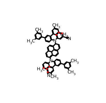 Cc1cc(C)cc(-c2ccc(N(C3=C4C=CC5=C6C(=CC=C(C=C3)C46)C(N(c3cccc(C#N)c3)c3ccc(-c4cc(C)cc(C)c4)cc3-c3cc(C)cc(C)c3)C=C5)c3cccc(C#N)c3)c(-c3cc(C)cc(C)c3)c2)c1